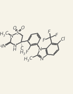 Cc1nc2ccc(Cl)c(C(F)(F)F)c2n1-c1cccc([C@]2(C)CS(=O)(=O)N(C)C(=N)N2)c1F